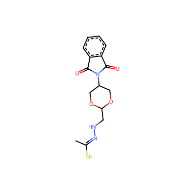 C/C(S)=N\NCC1OCC(N2C(=O)c3ccccc3C2=O)CO1